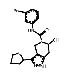 CC1Cc2[nH]nc(C3CCCO3)c2CN1C(=O)Nc1cccc(Br)c1